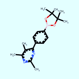 Cc1nc(C)c(C)c(-c2ccc(B3OC(C)(C)C(C)(C)O3)cc2)n1